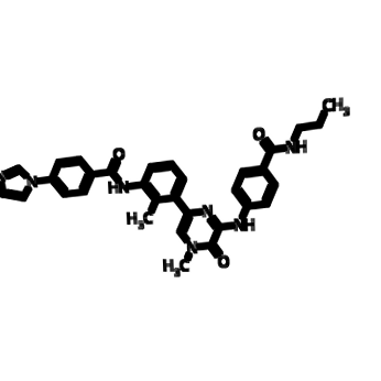 CCCNC(=O)c1ccc(Nc2nc(-c3cccc(NC(=O)c4ccc(-n5ccnc5)cc4)c3C)cn(C)c2=O)cc1